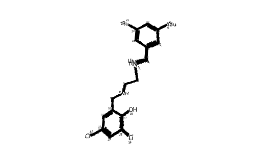 CC(C)(C)c1cc(CNCCNCc2cc(Cl)cc(Cl)c2O)cc(C(C)(C)C)c1